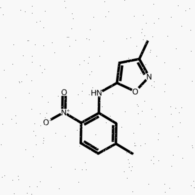 Cc1ccc([N+](=O)[O-])c(Nc2cc(C)no2)c1